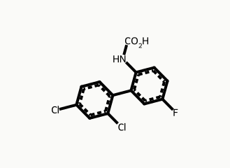 O=C(O)Nc1ccc(F)cc1-c1ccc(Cl)cc1Cl